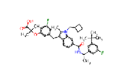 Cc1c(Cc2cc(F)cc(OC(C)(C)C(=O)O)c2)c2ccc(C(=O)N[C@@H](C)c3cc(F)cc(C(C)(C)C)c3)cc2n1CC1CCC1